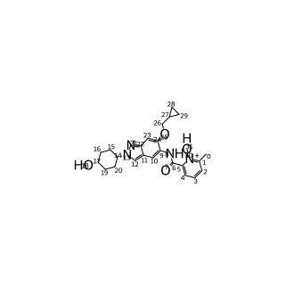 Cc1cccc(C(=O)Nc2cc3cn([C@H]4CC[C@@H](O)CC4)nc3cc2OCC2CC2)[n+]1O